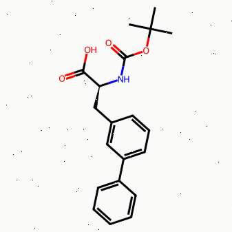 CC(C)(C)OC(=O)N[C@@H](Cc1cccc(-c2ccccc2)c1)C(=O)O